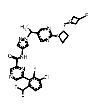 CC(c1cnc(N2CC[C@H]2CN2CC(F)C2)nc1)n1cc(NC(=O)c2cncc(-c3c(C(F)F)ccc(Cl)c3F)n2)cn1